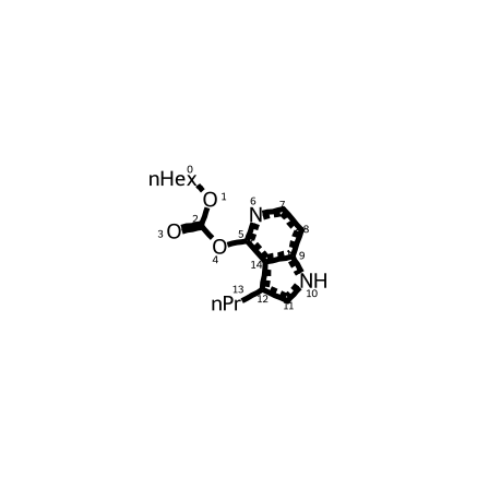 CCCCCCOC(=O)Oc1nccc2[nH]cc(CCC)c12